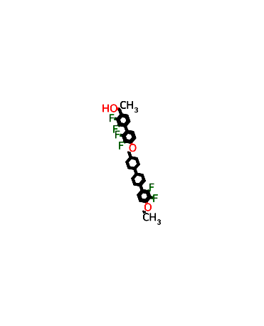 CCOc1ccc(C2=CCC(C3CCC(COc4ccc(-c5ccc(C(C)O)c(F)c5F)c(F)c4F)CC3)CC2)c(F)c1F